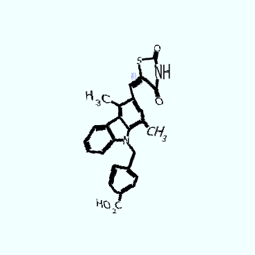 Cc1c(/C=C2/SC(=O)NC2=O)cc(C)c2c1c1ccccc1n2Cc1ccc(C(=O)O)cc1